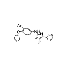 CC(=O)c1cc(Nc2nc(-c3cccnc3)c(F)s2)ccc1Oc1ccccc1